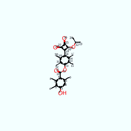 Cc1cc(O)c(C)c(C)c1C(=O)Oc1c(C)c(C)c(-c2c(OC(C)C)c(=O)c2=O)c(C)c1C